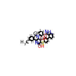 CCN(c1ccccc1)c1c(-c2cccc(C)c2)nc(O)c(Sc2ccc(-c3ccccc3C(N)=O)cc2)c1O